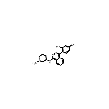 Cc1cnc(-c2nnc(N[C@@H]3CCCN(C)C3)c3cnccc23)c(O)c1